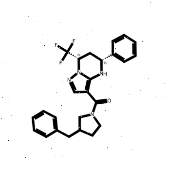 O=C(c1cnn2c1N[C@@H](c1ccccc1)C[C@H]2C(F)(F)F)N1CCC(Cc2ccccc2)C1